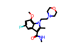 CNC(=O)c1c(C)n(CCN2CCOCC2)c2c(OC)cc(F)cc12